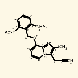 C#CCc1c(C)nc2c(OCc3c(NC(C)=O)cccc3NC(C)=O)cccn12